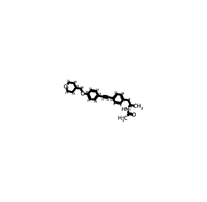 CC(=O)NC(C)Cc1ccc(C#Cc2ccc(OCC3CCOCC3)cc2)cc1